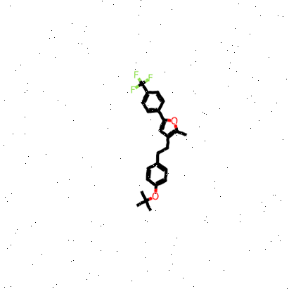 Cc1oc(-c2ccc(C(F)(F)F)cc2)cc1CCc1ccc(OC(C)(C)C)cc1